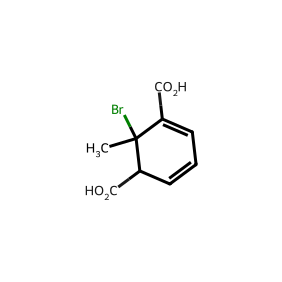 CC1(Br)C(C(=O)O)=CC=CC1C(=O)O